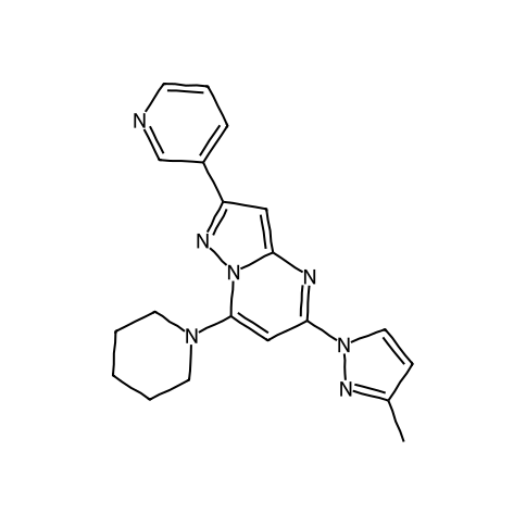 Cc1ccn(-c2cc(N3CCCCC3)n3nc(-c4cccnc4)cc3n2)n1